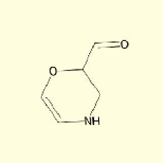 O=CC1CNC=CO1